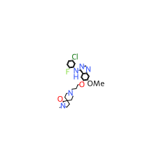 COc1cc2ncnc(Nc3cc(Cl)ccc3F)c2cc1OCCCN1CCC2(CC1)CCN(C)C2=O